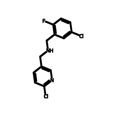 Fc1ccc(Cl)cc1CNCc1ccc(Cl)nc1